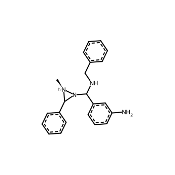 C[N@]1C(c2ccccc2)N1C(NCc1ccccc1)c1cccc(N)c1